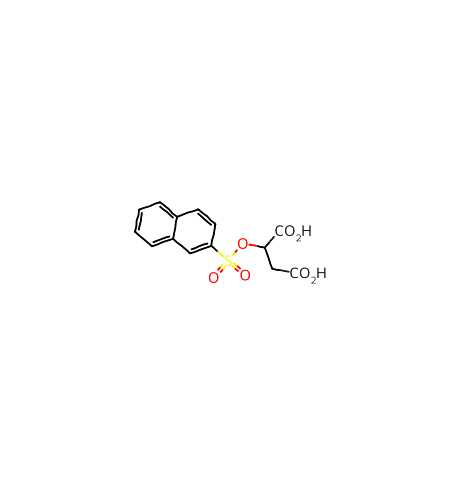 O=C(O)CC(OS(=O)(=O)c1ccc2ccccc2c1)C(=O)O